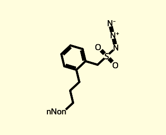 CCCCCCCCCCCCc1ccccc1CS(=O)(=O)N=[N+]=[N-]